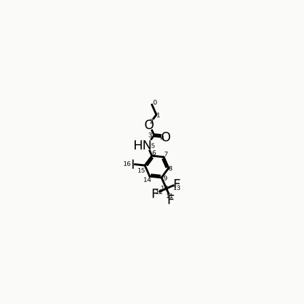 CCOC(=O)Nc1ccc(C(F)(F)F)cc1I